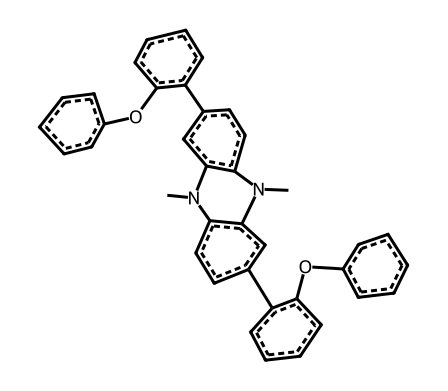 CN1c2ccc(-c3ccccc3Oc3ccccc3)cc2N(C)c2ccc(-c3ccccc3Oc3ccccc3)cc21